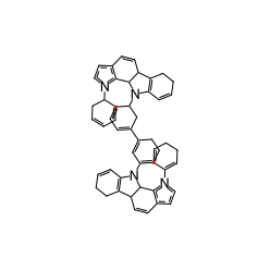 C1=CCC(n2ccc3c2C2C(C=C3)C3=C(C=CCC3)N2C2C=CC=C(C3=CC(N4C5=C(CCC=C5)C5C=Cc6ccn(C7=CCCC=C7)c6C54)=CCC3)C2)C=C1